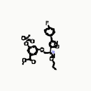 CCCO/N=C(\COc1cc(OS(C)(=O)=O)cc(C(=O)OC)c1)c1cc(-c2ccc(F)cc2)no1